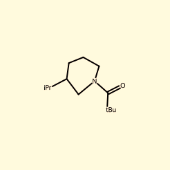 CC(C)C1CCCN(C(=O)C(C)(C)C)C1